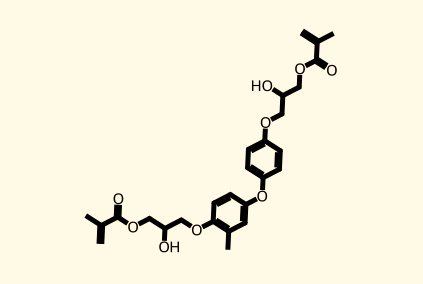 C=C(C)C(=O)OCC(O)COc1ccc(Oc2ccc(OCC(O)COC(=O)C(=C)C)c(C)c2)cc1